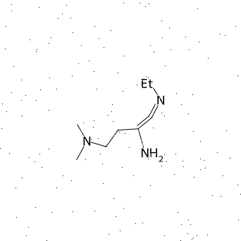 CCN=C=C(N)CCN(C)C